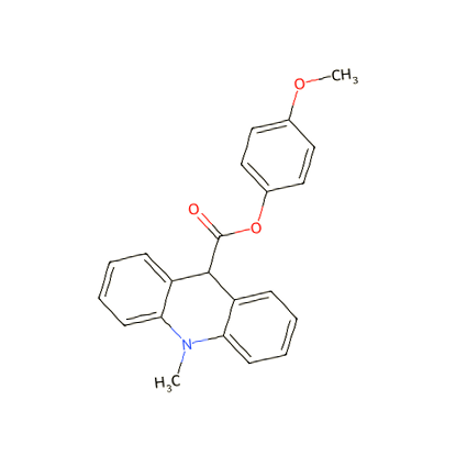 COc1ccc(OC(=O)C2c3ccccc3N(C)c3ccccc32)cc1